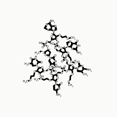 CC[C@H]1O[C@@H](n2cc(C)c(N)nc2=O)C[C@H]1OP(=O)(S)OC[C@H]1O[C@@H](n2cnc3c(N)ncnc32)C(OCCOC)[C@H]1OP(=O)(O)OC[C@H]1O[C@@H](n2cnc3c(=O)[nH]c(N)nc32)C(OCCOC)[C@H]1OP(=O)(O)OC[C@H]1O[C@@H](n2cc(C)c(N)nc2=O)C(OCCOC)[C@H]1OP(=O)(S)OC[C@H]1O[C@@H](n2ccc(N)nc2=O)C(OCCOC)[C@H]1OP(=O)(S)OC[C@H]1O[C@@H](n2cc(C)c(=O)[nH]c2=O)C(OCCOC)[C@H]1O